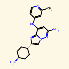 Cc1cc(Nc2cc(N)nn3cc([C@H]4CC[C@H](N)CC4)nc23)ccn1